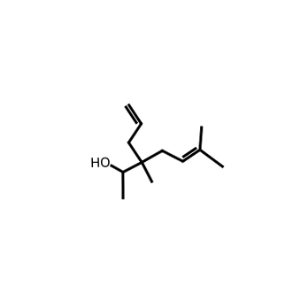 C=CCC(C)(CC=C(C)C)C(C)O